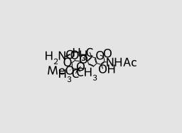 CO[C@@H]1[C@H](OC(N)=O)C(O)[C@H](Oc2ccc3c(O)c(NC(C)=O)c(=O)oc3c2C)OC1(C)C